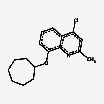 Cc1cc(Cl)c2cccc(OC3CCCCCC3)c2n1